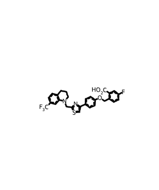 O=C(O)c1cc(F)ccc1COc1ccc(-c2csc(CN3CCCc4ccc(C(F)(F)F)cc43)n2)cc1